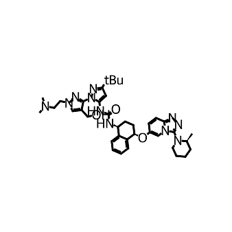 C[C@H]1CCCCN1c1nnc2ccc(O[C@@H]3CC[C@H](NC(=O)Nc4cc(C(C)(C)C)nn4-c4nn(CCN(C)C)cc4CO)c4ccccc43)cn12